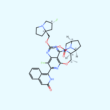 C[C@@H]1Oc2nc(-c3[nH]c(=O)cc4ccccc34)c(F)c3nc(OC[C@@]45CCCN4C[C@H](F)C5)nc(c23)N2C[C@H]3CC[C@@H]([C@@H]12)N3C(=O)OC(C)(C)C